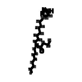 CCCCCCCCN(CCCCCCCC)C(=O)CCC.c1c[nH]nn1